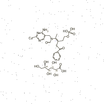 C/C(=C(\CCOP(=O)(O)O)SC(=O)c1ccccc1)N(C=O)Cc1cnc(C)nc1N.O=C(O)[C@H](O)[C@@H](O)[C@H](O)[C@H](O)CO.[Cu]